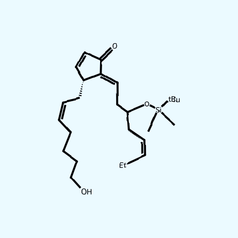 CC/C=C\CC(C/C=C1/C(=O)C=C[C@H]1C/C=C\CCCCO)O[Si](C)(C)C(C)(C)C